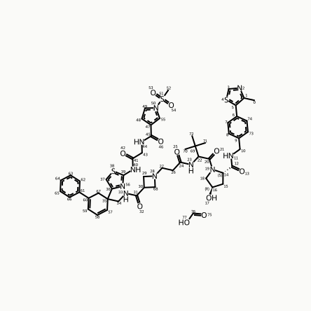 Cc1ncsc1-c1ccc(CNC(=O)[C@@H]2C[C@@H](O)CN2C(=O)C(NC(=O)CCN2CC(C(=O)NCC3(c4csc(NC(=O)CNC(=O)c5ccn(S(C)(=O)=O)c5)n4)C=CC=C(c4ccccc4)C3)C2)C(C)(C)C)cc1.O=CO